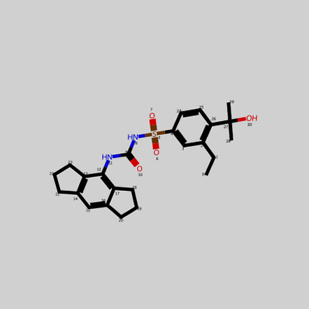 CCc1cc(S(=O)(=O)NC(=O)Nc2c3c(cc4c2CCC4)CCC3)ccc1C(C)(C)O